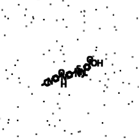 CC1CCN(c2ccc(C(=O)Nc3ccc(-c4csc(N(c5ccc(C(=O)O)cc5)C(C)C)n4)cc3)cc2)CC1